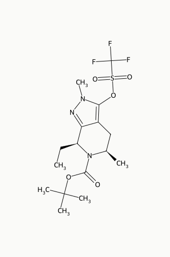 CC[C@H]1c2nn(C)c(OS(=O)(=O)C(F)(F)F)c2C[C@@H](C)N1C(=O)OC(C)(C)C